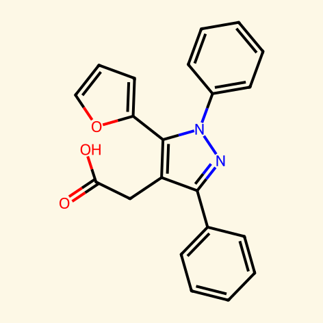 O=C(O)Cc1c(-c2ccccc2)nn(-c2ccccc2)c1-c1ccco1